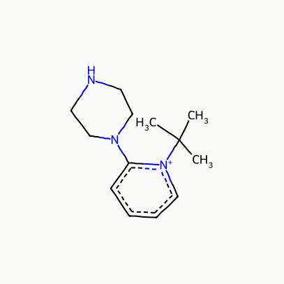 CC(C)(C)[n+]1ccccc1N1CCNCC1